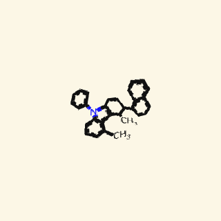 Cc1cccc2c1c1c(n2-c2ccccc2)C=CC(c2cccc3ccccc23)C1C